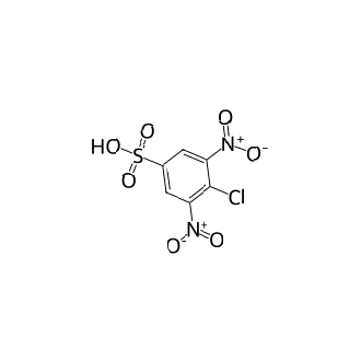 O=[N+]([O-])c1cc(S(=O)(=O)O)cc([N+](=O)[O-])c1Cl